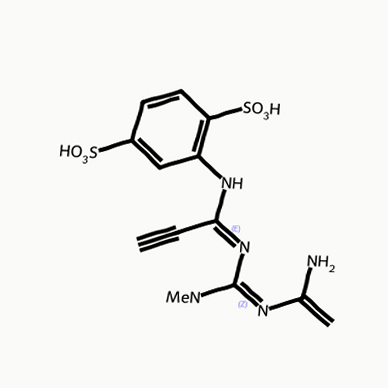 C#C/C(=N\C(=N/C(=C)N)NC)Nc1cc(S(=O)(=O)O)ccc1S(=O)(=O)O